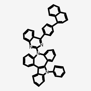 c1ccc(-n2c3c(c4ccccc42)-c2ccccc2N(c2nc(-c4ccc(-c5cccc6ccccc56)cc4)c4ccccc4n2)c2ccccc2-3)cc1